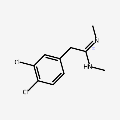 C/N=C(\Cc1ccc(Cl)c(Cl)c1)NC